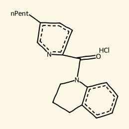 CCCCCc1ccc(C(=O)N2CCCc3ccccc32)nc1.Cl